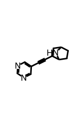 C(#CC1CC2CCC1N2)c1cncnc1